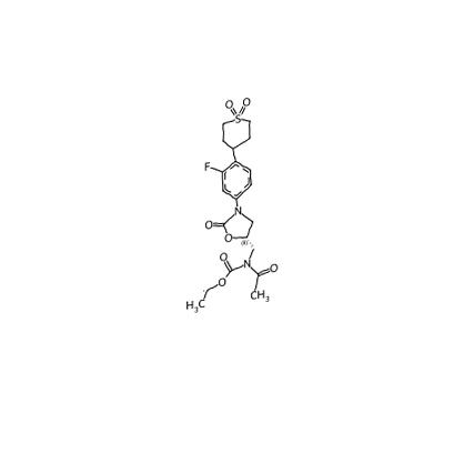 C[CH]OC(=O)N(C[C@H]1CN(c2ccc(C3CCS(=O)(=O)CC3)c(F)c2)C(=O)O1)C(C)=O